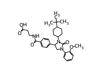 COc1ccccc1N1CC(c2ccc(C(=O)NCCC(=O)O)cc2)N(C2CCC(C(C)(C)C)CC2)C1=O